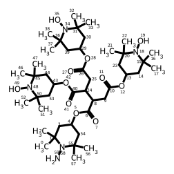 CC1(C)CC(OC(=O)C(CC(=O)OC2CC(C)(C)N(O)C(C)(C)C2)C(CC(=O)OC2CC(C)(C)N(O)C(C)(C)C2)C(=O)OC2CC(C)(C)N(O)C(C)(C)C2)CC(C)(C)N1N